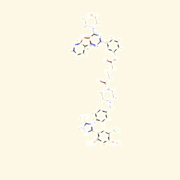 CC(C)c1cc(-c2nnc(O)n2-c2ccc(CN3CCN(C(=O)CCCC(=O)Oc4cccc(-c5nc(N6CCOCC6)c6oc7ncccc7c6n5)c4)CC3)cc2)c(O)cc1O